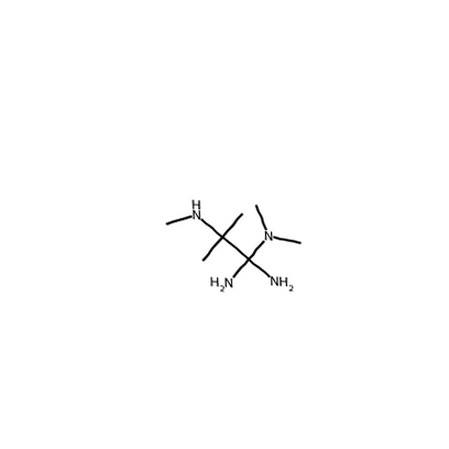 CNC(C)(C)C(N)(N)N(C)C